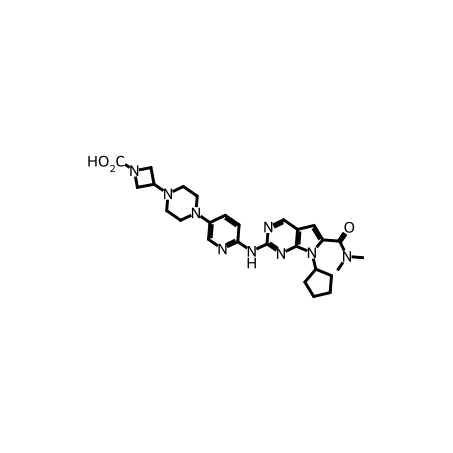 CN(C)C(=O)c1cc2cnc(Nc3ccc(N4CCN(C5CN(C(=O)O)C5)CC4)cn3)nc2n1C1CCCC1